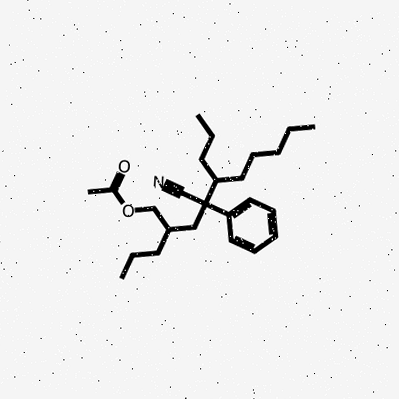 CCCCCC(CCC)C(C#N)(CC(CCC)COC(C)=O)c1ccccc1